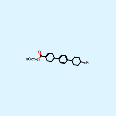 CCCCCCCCOC(=O)C1=CCC(c2ccc(C3CCC(CCC)CC3)cc2)CC1